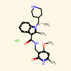 COc1cc(C)[nH]c(=O)c1CNC(=O)c1c(C)n([C@@H](C)C2CCNCC2)c2ccccc12.Cl